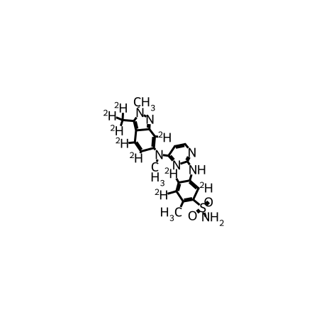 [2H]c1c([2H])c(Nc2nccc(N(C)c3c([2H])c([2H])c4c(C([2H])([2H])[2H])n(C)nc4c3[2H])n2)c([2H])c(S(N)(=O)=O)c1C